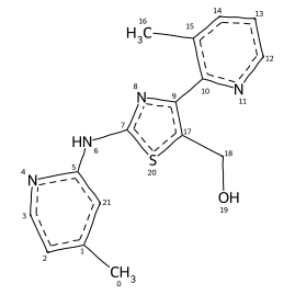 Cc1ccnc(Nc2nc(-c3ncccc3C)c(CO)s2)c1